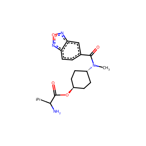 CC(C)C(N)C(=O)O[C@H]1CC[C@H](N(C)C(=O)c2ccc3nonc3c2)CC1